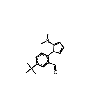 CN(C)C1=CC=CC1c1ccc(C(C)(C)C)cc1C=O